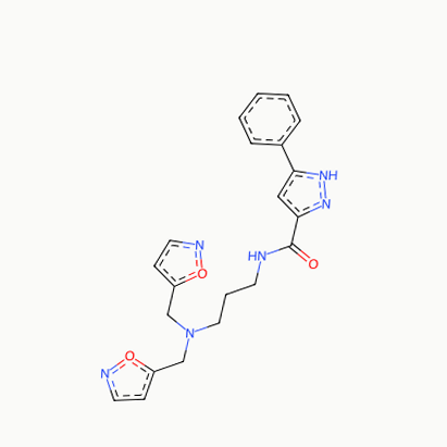 O=C(NCCCN(Cc1ccno1)Cc1ccno1)c1cc(-c2ccccc2)[nH]n1